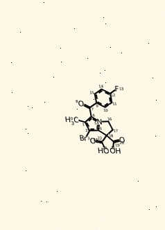 Cc1c(Br)c2n(c1C(=O)c1ccc(F)cc1)CCC2(C(=O)O)C(=O)O